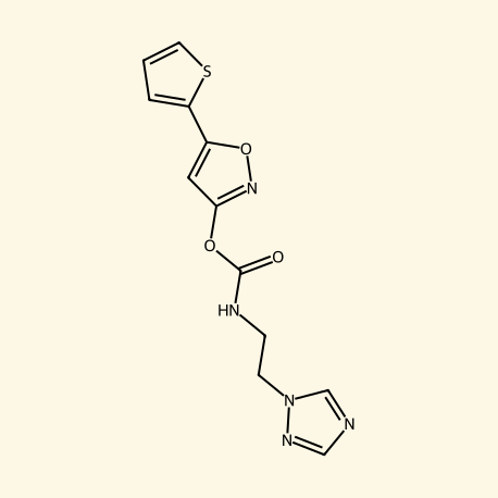 O=C(NCCn1cncn1)Oc1cc(-c2cccs2)on1